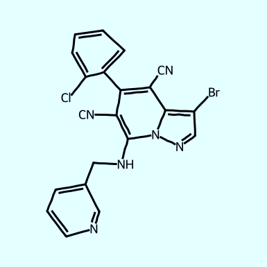 [C-]#[N+]c1c(-c2ccccc2Cl)c(C#N)c2c(Br)cnn2c1NCc1cccnc1